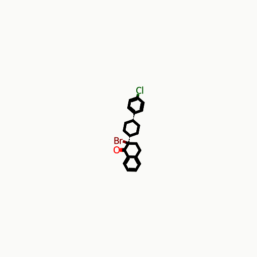 O=C1c2ccccc2CCC1(Br)[C@H]1CC[C@@H](c2ccc(Cl)cc2)CC1